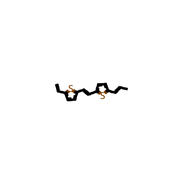 C=Cc1ccc(/C=C/c2ccc(/C=C/C)s2)s1